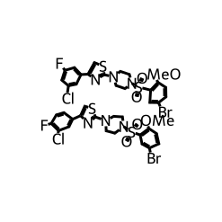 COc1ccc(Br)cc1S(=O)(=O)N1CCN(c2nc(-c3cc(F)cc(Cl)c3)cs2)CC1.COc1ccc(Br)cc1S(=O)(=O)N1CCN(c2nc(-c3ccc(F)c(Cl)c3)cs2)CC1